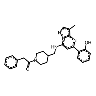 Cc1cnn2c(NCC3CCN(C(=O)Cc4ccccc4)CC3)cc(-c3ccccc3O)nc12